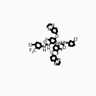 O=C(Nc1ccc(Cl)c(C(F)(F)F)c1)Nc1ccc(Oc2ccc3nccnc3c2)cc1F.O=C(Nc1cccc(Cl)c1)Nc1ccc(Oc2ccc3nccnc3c2)c(F)c1F